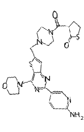 Nc1ccc(-c2nc(N3CCOCC3)c3sc(CN4CCN(C(=O)C5CCSC5=O)CC4)cc3n2)cn1